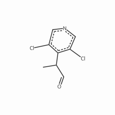 CC(C=O)c1c(Cl)cncc1Cl